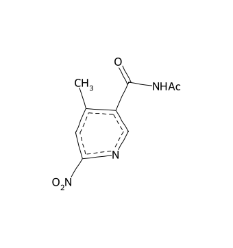 CC(=O)NC(=O)c1cnc([N+](=O)[O-])cc1C